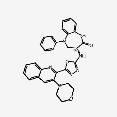 O=C1Nc2ccccc2N(c2ccccc2)C[C@@H]1Nc1nnc(-c2nc3ccccc3cc2N2CCOCC2)o1